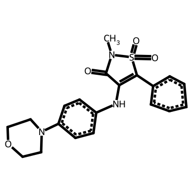 CN1C(=O)C(Nc2ccc(N3CCOCC3)cc2)=C(c2ccccc2)S1(=O)=O